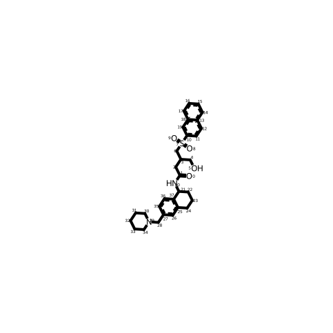 O=C(CC(CO)CS(=O)(=O)c1ccc2ccccc2c1)NC1CCCc2cc(CN3CCCCC3)ccc21